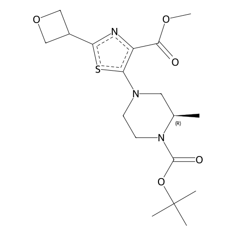 COC(=O)c1nc(C2COC2)sc1N1CCN(C(=O)OC(C)(C)C)[C@H](C)C1